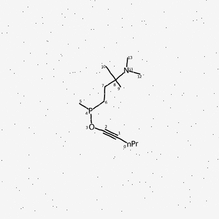 CCCC#COP(C)CCC(C)(C)N(C)C